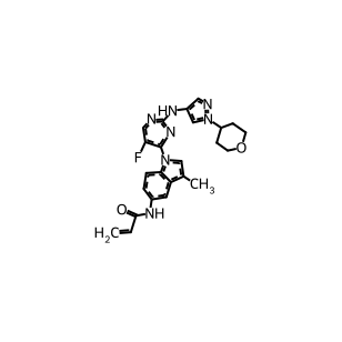 C=CC(=O)Nc1ccc2c(c1)c(C)cn2-c1nc(Nc2cnn(C3CCOCC3)c2)ncc1F